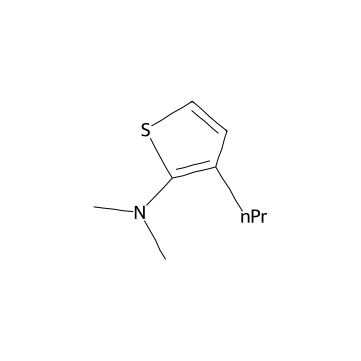 CCCc1ccsc1N(C)C